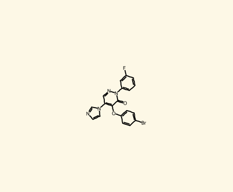 O=c1c(Oc2ccc(Br)cc2)c(-n2ccnc2)cnn1-c1cccc(F)c1